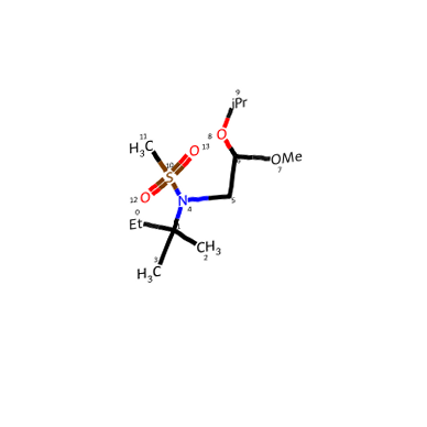 CCC(C)(C)N(CC(OC)OC(C)C)S(C)(=O)=O